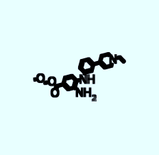 CCN1CC=C(c2cccc(Nc3ccc(C(=O)OCOC)cc3N)c2)CC1